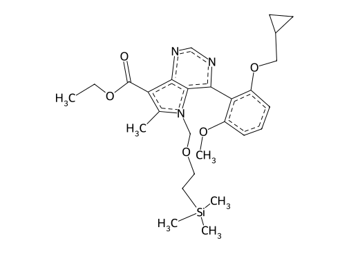 CCOC(=O)c1c(C)n(COCC[Si](C)(C)C)c2c(-c3c(OC)cccc3OCC3CC3)ncnc12